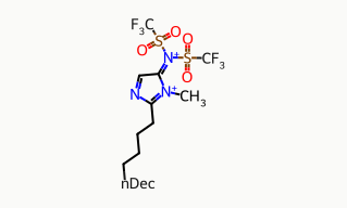 CCCCCCCCCCCCCCC1=[N+](C)C(=[N+](S(=O)(=O)C(F)(F)F)S(=O)(=O)C(F)(F)F)C=N1